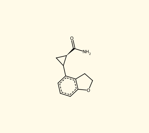 NC(=O)[C@@H]1CC1c1cccc2c1CCO2